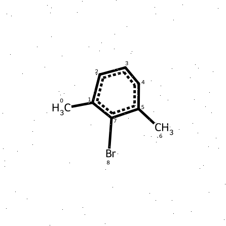 Cc1[c]ccc(C)c1Br